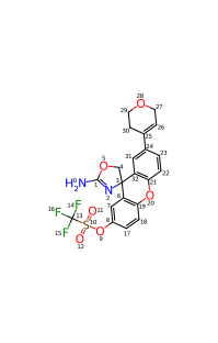 NC1=NC2(CO1)c1cc(OS(=O)(=O)C(F)(F)F)ccc1Oc1ccc(C3=CCOCC3)cc12